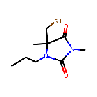 CCCN1C(=O)N(C)C(=O)C1(C)CS